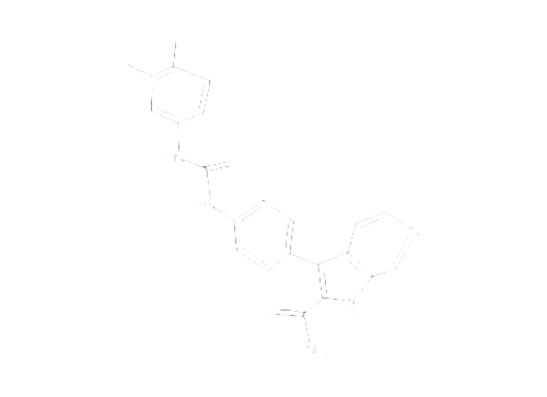 Cc1ccc(NC(=O)Nc2ccc(-c3c(C(N)=O)[nH]c4cnccc34)cc2)cc1C